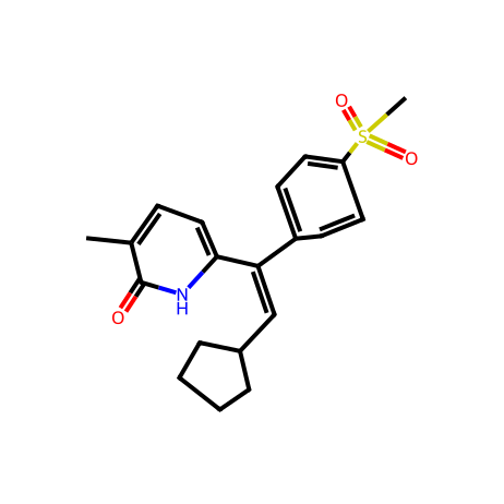 Cc1ccc(/C(=C\C2CCCC2)c2ccc(S(C)(=O)=O)cc2)[nH]c1=O